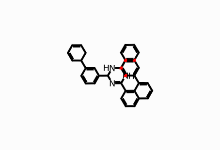 C1=CCC(c2cccc(C3N=C(c4cccc5cccc(-c6ccccc6)c45)NC(c4ccccc4)N3)c2)C=C1